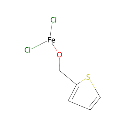 [Cl][Fe]([Cl])[O]Cc1cccs1